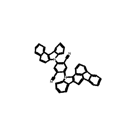 N#Cc1cc(-n2c3ccccc3c3cc4c5c(cccc5c32)-c2ccccc2-4)c(C#N)cc1-n1c2ccccc2c2c3ccccc3ccc21